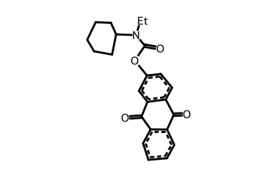 CCN(C(=O)Oc1ccc2c(c1)C(=O)c1ccccc1C2=O)C1CCCCC1